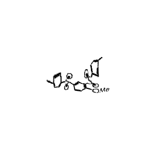 COc1ccc(S(=O)(=O)c2ccc(C)cc2)cc1S(=O)(=O)c1ccc(C)cc1